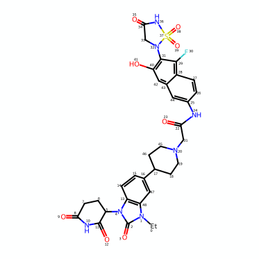 CCn1c(=O)n(C2CCC(=O)NC2=O)c2ccc(C3CCN(CC(=O)Nc4ccc5c(F)c(N6CC(=O)NS6(=O)=O)c(O)cc5c4)CC3)cc21